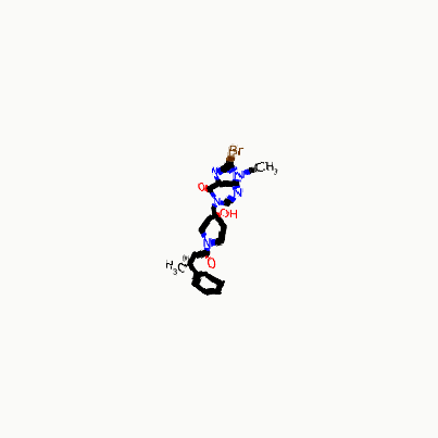 C[C@H](CC(=O)N1CCC(O)(Cn2cnc3c(nc(Br)n3C)c2=O)CC1)c1ccccc1